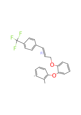 Cc1[c]cccc1Oc1ccccc1OC/C=C/c1ccc(C(F)(F)F)cc1